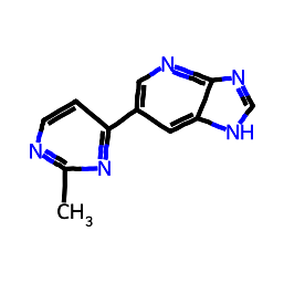 Cc1nccc(-c2cnc3nc[nH]c3c2)n1